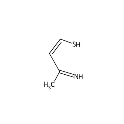 CC(=N)/C=C\S